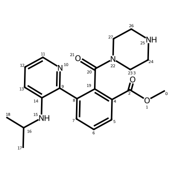 COC(=O)c1cccc(-c2ncccc2NC(C)C)c1C(=O)N1CCNCC1